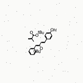 C=C(C)C(=O)OC(C)(C)C.CCCCOC(C=Cc1ccc(O)cc1)=Cc1ccccc1